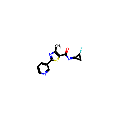 Cc1nc(-c2cccnc2)sc1C(=O)/N=C1/C[C@@H]1F